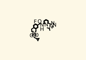 CC(C)n1cnnc1-c1cccc(NC(=O)c2cc3c(cc2F)CCN(S(=O)(=O)CC2CC2)C3)n1